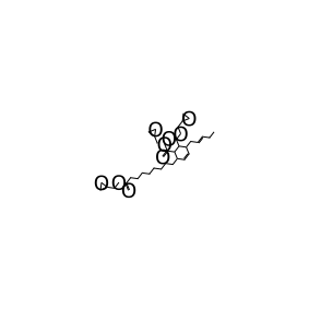 CC/C=C/CC1C=CC(CCCCCCCCC(=O)OCC2CO2)C(C(=O)OCC2CO2)C1C(=O)OCC1CO1